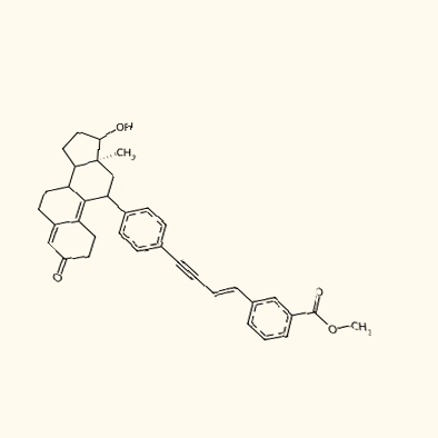 COC(=O)c1cccc(/C=C/C#Cc2ccc(C3C[C@]4(C)C(O)CCC4C4CCC5=CC(=O)CCC5=C34)cc2)c1